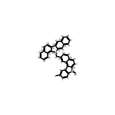 Cc1ccc2c(c1)c1c3cc(Cn4c5cc6ccccc6cc5c5ccc6ccccc6c54)ccc3ccc1n2C